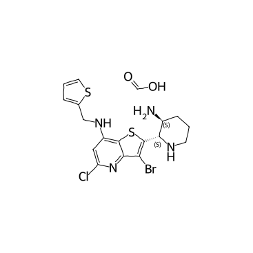 N[C@H]1CCCN[C@@H]1c1sc2c(NCc3cccs3)cc(Cl)nc2c1Br.O=CO